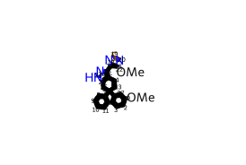 COc1cccc(C2(c3ccccc3)C=Cc3c(-c4nsnc4OC)n[nH]c3C2)c1